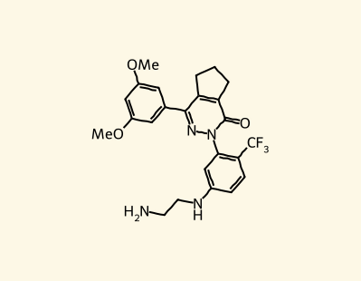 COc1cc(OC)cc(-c2nn(-c3cc(NCCN)ccc3C(F)(F)F)c(=O)c3c2CCC3)c1